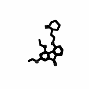 CCOc1cc(OCC)c2c(c1)C(=O)c1cccc(OCCC3CCCCN3)c1-2